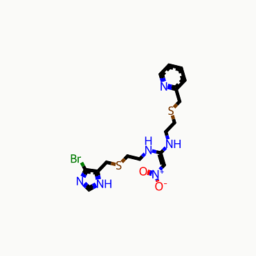 O=[N+]([O-])/C=C(/NCCSCc1ccccn1)NCCSCc1[nH]cnc1Br